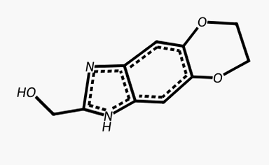 OCc1nc2cc3c(cc2[nH]1)OCCO3